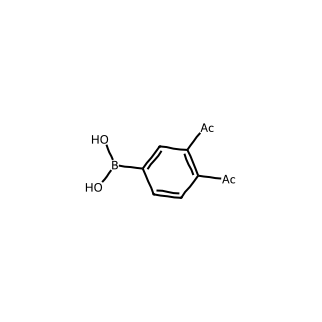 CC(=O)c1ccc(B(O)O)cc1C(C)=O